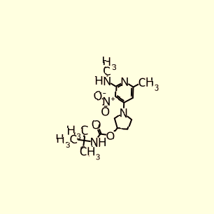 CNc1nc(C)cc(N2CCC(OC(=O)NC(C)(C)C)C2)c1[N+](=O)[O-]